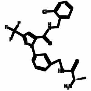 C[C@H](N)C(=O)NCc1cccc(-n2nc(C(F)(F)F)cc2C(=O)NCc2ccccc2Cl)c1